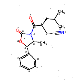 CC(C)C[C@@H](CC#N)C(=O)N1C(=O)O[C@@H](c2ccccc2)[C@H]1C